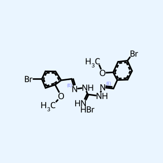 Br.COc1cc(Br)ccc1/C=N/NC(=N)N/N=C/c1ccc(Br)cc1OC